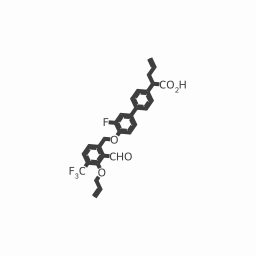 C=CCOc1c(C(F)(F)F)ccc(COc2ccc(-c3ccc(C(CC=C)C(=O)O)cc3)cc2F)c1C=O